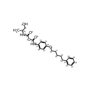 C[C@@H](CO)NC(=O)OC(=O)Nc1ccc(OCCCCCc2ccccc2)cc1